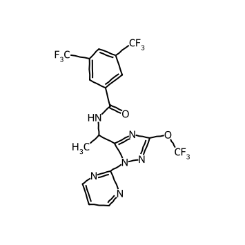 CC(NC(=O)c1cc(C(F)(F)F)cc(C(F)(F)F)c1)c1nc(OC(F)(F)F)nn1-c1ncccn1